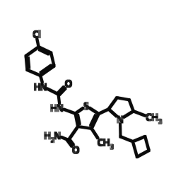 Cc1c(C2CCC(C)N2CC2CCC2)sc(NC(=O)Nc2ccc(Cl)cc2)c1C(N)=O